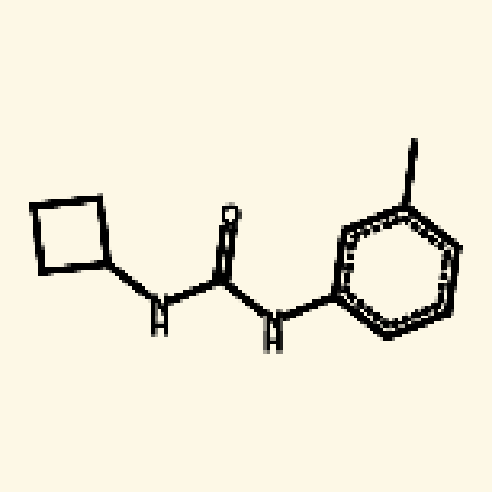 Cc1cccc(NC(=O)NC2CCC2)c1